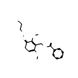 COC1=CCC(=NOCCCl)C(OC)=C1COC(=O)c1ccccc1